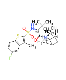 Cc1c(S(=O)(=O)N[C@H](C(=O)N2CC3C[C@@H]([C@H]2C)C3(C)C)C(C)(C)C)sc2ccc(F)cc12